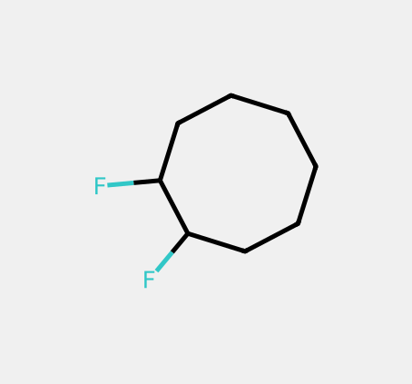 FC1CCCCCCC1F